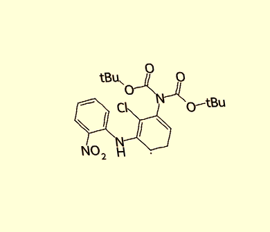 CC(C)(C)OC(=O)N(C(=O)OC(C)(C)C)C1=CC[CH]C(Nc2ccccc2[N+](=O)[O-])=C1Cl